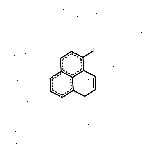 Ic1ccc2cccc3c2c1C=CC3